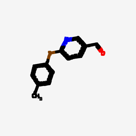 Cc1ccc(Sc2ccc(C=O)cn2)cc1